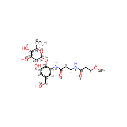 CC(C)OCCC(=O)NCCC(=O)Nc1cc(CO)ccc1O[C@@H]1O[C@H](C(=O)O)[C@@H](O)[C@H](O)[C@H]1O